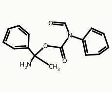 CC(N)(OC(=O)N(C=O)c1ccccc1)c1ccccc1